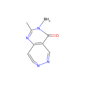 Bn1c(C)nc2c(c1=O)C=NN=C=C2